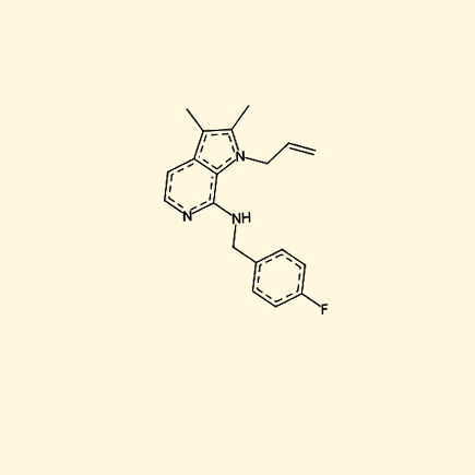 C=CCn1c(C)c(C)c2ccnc(NCc3ccc(F)cc3)c21